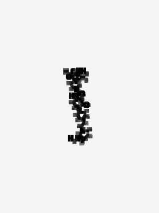 CC(C)(N)C(=O)N1CCN(C(=O)Nc2ccn(-c3ccc(CCN4CCC5CC5(N)C4)cc3)c(=O)n2)CC1